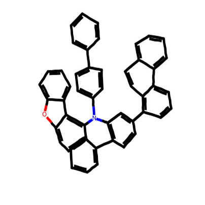 c1ccc(-c2ccc(N(c3cc(-c4cccc5c4ccc4ccccc45)ccc3-c3ccccc3)c3cccc4oc5ccccc5c34)cc2)cc1